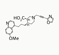 COc1ccc2nccc(CCC[C@@H]3CCN(CC#Cc4ncco4)C[C@@H]3C(=O)O)c2c1